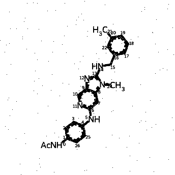 CC(=O)Nc1ccc(Nc2cc3c(cn2)nc(NCc2cccc(C)c2)n3C)cc1